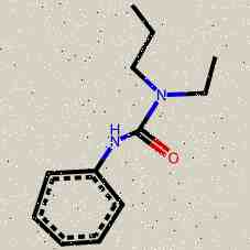 CCCN(CC)C(=O)Nc1ccccc1